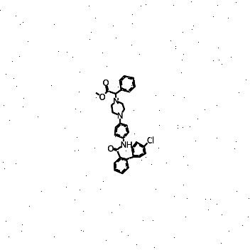 COC(=O)C(c1ccccc1)N1CCN(c2ccc(NC(=O)c3ccccc3-c3ccc(Cl)cc3)cc2)CC1